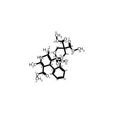 COC(=O)C1=C(C)NC(C)=C(P2(=O)OCC(C(=O)OC)(C(=O)OC)CO2)C1c1ccccc1[N+](=O)[O-]